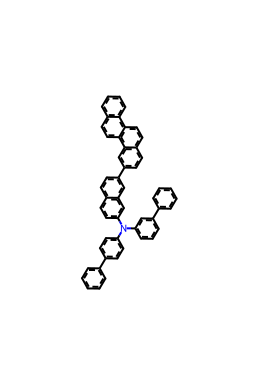 c1ccc(-c2ccc(N(c3cccc(-c4ccccc4)c3)c3ccc4ccc(-c5ccc6ccc7c8ccccc8ccc7c6c5)cc4c3)cc2)cc1